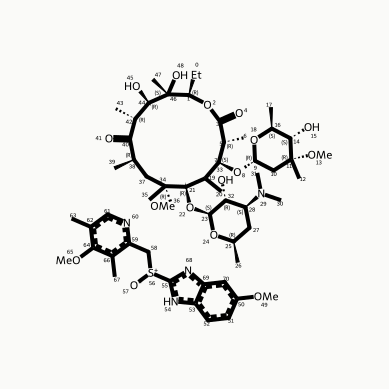 CC[C@H]1OC(=O)[C@H](C)[C@@H](O[C@H]2C[C@@](C)(OC)[C@@H](O)[C@H](C)O2)C(C)[C@@H](O[C@@H]2O[C@H](C)C[C@H](N(C)C)[C@H]2O)[C@](C)(OC)C[C@@H](C)C(=O)[C@H](C)[C@@H](O)[C@]1(C)O.COc1ccc2[nH]c([S+]([O-])Cc3ncc(C)c(OC)c3C)nc2c1